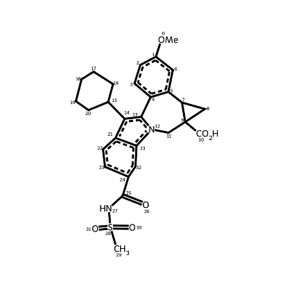 COc1ccc2c(c1)C1CC1(C(=O)O)Cn1c-2c(C2CCCCC2)c2ccc(C(=O)NS(C)(=O)=O)cc21